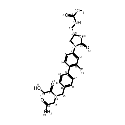 CC(=O)NC[C@H]1CN(c2ccc(-c3ccc(CN(CC(N)=O)C(=O)CO)cc3)c(F)c2)C(=O)O1